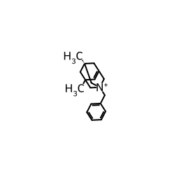 CC12C=C3C[C@](C)(C1)C[N+](Cc1ccccc1)(C3)C2